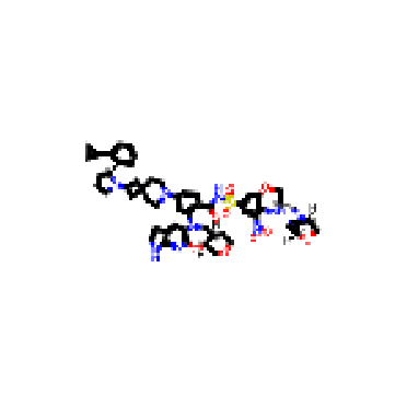 O=C(NS(=O)(=O)c1cc2c(c([N+](=O)[O-])c1)N[C@@H](CN1C[C@@H]3C[C@H]1CO3)CO2)c1ccc(N2CCC3(CC2)CC(N2CCC[C@H]2c2ccccc2C2CC2)C3)cc1N1C[C@H]2CCOC[C@H]2Oc2nc3[nH]ccc3cc21